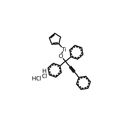 C(#CC([O][Ti][C]1=CC=CC1)(c1ccccc1)c1ccccc1)c1ccccc1.Cl.Cl